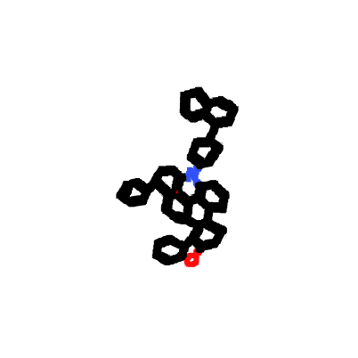 C1=CC2Oc3ccc4c5cccc(N(c6ccc(-c7ccccc7)cc6)c6ccc(-c7cccc8ccccc78)cc6)c5c5ccccc5c4c3C2C=C1